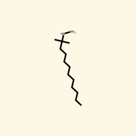 CCCCCCCCCCC(C)(C)NN